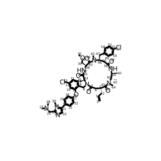 C=CC[C@@H]1CC(=O)N(Cc2ccc(Cl)cc2Oc2ccc(-c3cnc(CN(C)C)n3C)cc2)[C@@H](C)C(=O)N[C@@H](COC)C(=O)N(C)[C@@H](Cc2ccc(Cl)cc2)CC(=O)N[C@@H](C)[C@H](C)N(C)C1=O